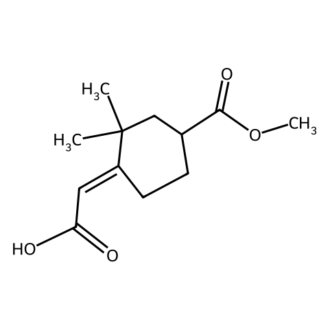 COC(=O)C1CCC(=CC(=O)O)C(C)(C)C1